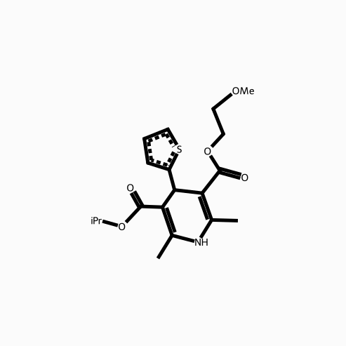 COCCOC(=O)C1=C(C)NC(C)=C(C(=O)OC(C)C)C1c1cccs1